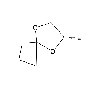 C[C@H]1COC2(CCC2)O1